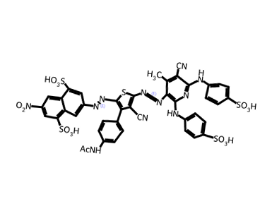 CC(=O)Nc1ccc(-c2c(/N=N/c3cc(S(=O)(=O)O)c4cc([N+](=O)[O-])cc(S(=O)(=O)O)c4c3)sc(/N=N/c3c(Nc4ccc(S(=O)(=O)O)cc4)nc(Nc4ccc(S(=O)(=O)O)cc4)c(C#N)c3C)c2C#N)cc1